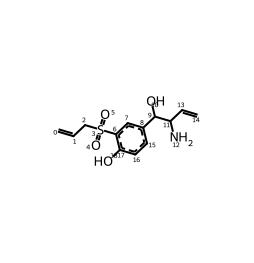 C=CCS(=O)(=O)c1cc(C(O)C(N)C=C)ccc1O